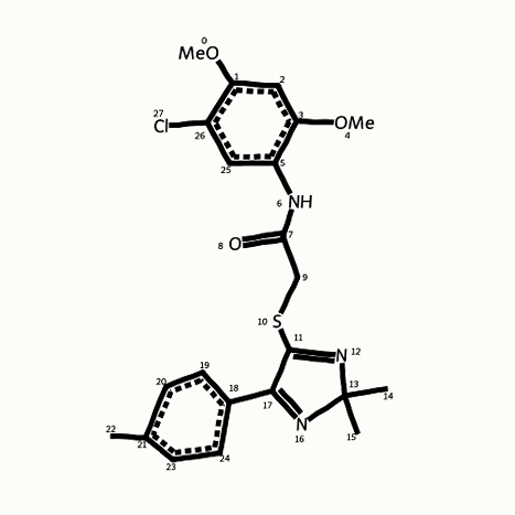 COc1cc(OC)c(NC(=O)CSC2=NC(C)(C)N=C2c2ccc(C)cc2)cc1Cl